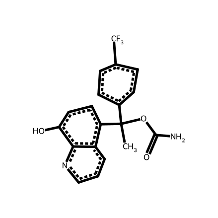 CC(OC(N)=O)(c1ccc(C(F)(F)F)cc1)c1ccc(O)c2ncccc12